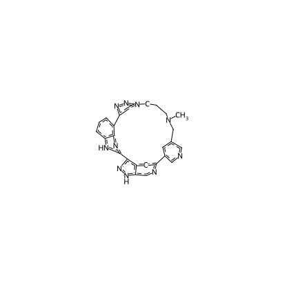 CN1CCCn2cc(nn2)-c2cccc3[nH]c(nc23)-c2n[nH]c3cnc(cc23)-c2cncc(c2)C1